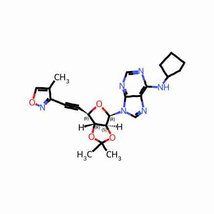 Cc1conc1C#C[C@H]1O[C@@H](n2cnc3c(NC4CCCC4)ncnc32)[C@H]2OC(C)(C)O[C@@H]21